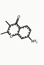 Cc1oc2cc(N)ccc2c(=O)c1C